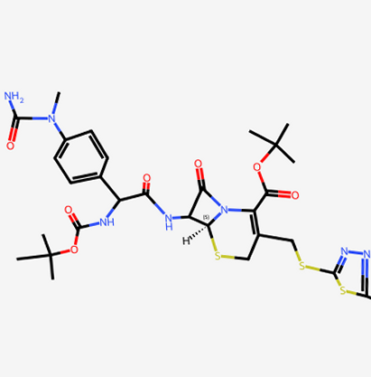 Cc1nnc(SCC2=C(C(=O)OC(C)(C)C)N3C(=O)C(NC(=O)C(NC(=O)OC(C)(C)C)c4ccc(N(C)C(N)=O)cc4)[C@@H]3SC2)s1